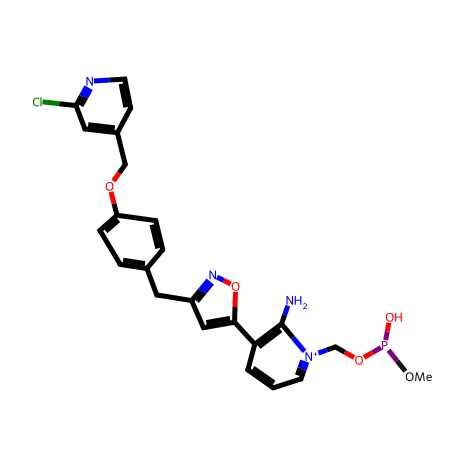 COP(O)OC[n+]1cccc(-c2cc(Cc3ccc(OCc4ccnc(Cl)c4)cc3)no2)c1N